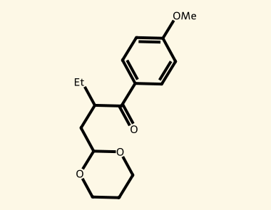 CCC(CC1OCCCO1)C(=O)c1ccc(OC)cc1